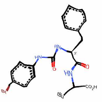 CC(C)(C)C(NC(=O)[C@H](Cc1ccccc1)NC(=O)Nc1ccc(Br)cc1)C(=O)O